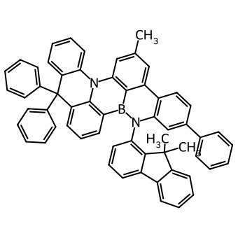 Cc1cc2c3c(c1)N1c4ccccc4C(c4ccccc4)(c4ccccc4)c4cccc(c41)B3N(c1cccc3c1C(C)(C)c1ccccc1-3)c1cc(-c3ccccc3)ccc1-2